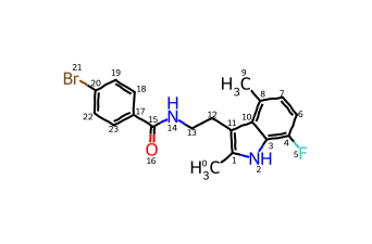 Cc1[nH]c2c(F)ccc(C)c2c1CCNC(=O)c1ccc(Br)cc1